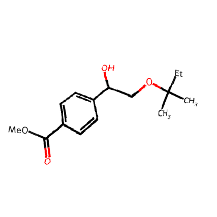 CCC(C)(C)OCC(O)c1ccc(C(=O)OC)cc1